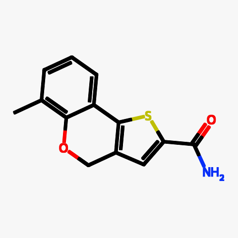 Cc1cccc2c1OCc1cc(C(N)=O)sc1-2